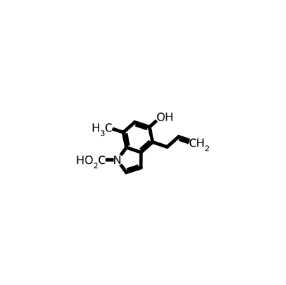 C=CCc1c(O)cc(C)c2c1ccn2C(=O)O